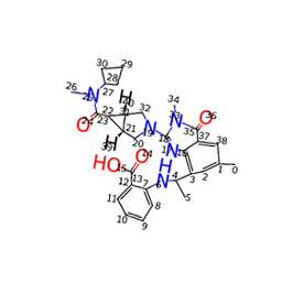 Cc1cc(C(C)Nc2ccccc2C(=O)O)c2nc(N3C[C@@H]4C(C(=O)N(C)C5CCC5)[C@@H]4C3)n(C)c(=O)c2c1